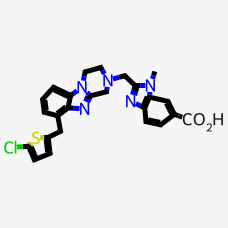 Cn1c(CN2CCn3c(nc4c(Cc5ccc(Cl)s5)cccc43)C2)nc2ccc(C(=O)O)cc21